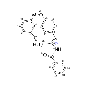 COc1ccc(/C=C(/NC(=O)c2ccccc2)C(=O)O)cc1-c1ccccc1Cl